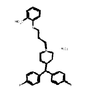 O.O=C(O)c1ccccc1OCCCN1CCC(C(c2ccc(F)cc2)c2ccc(F)cc2)CC1